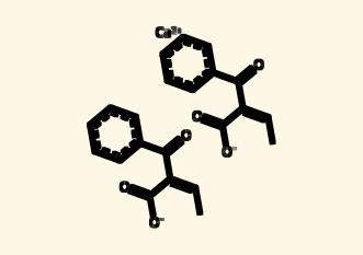 CC=C(C(=O)[O-])C(=O)c1ccccc1.CC=C(C(=O)[O-])C(=O)c1ccccc1.[Ca+2]